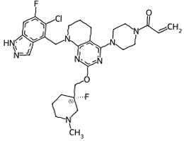 C=CC(=O)N1CCN(c2nc(OC[C@]3(F)CCCN(C)C3)nc3c2CCCN3Cc2c(Cl)c(F)cc3[nH]ncc23)CC1